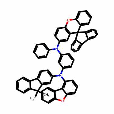 CC1(C)c2ccccc2-c2ccc(N(c3cccc(N(c4ccccc4)c4ccc5c(c4)C4(c6ccccc6O5)c5ccccc5-c5ccccc54)c3)c3cccc4oc5ccccc5c34)cc21